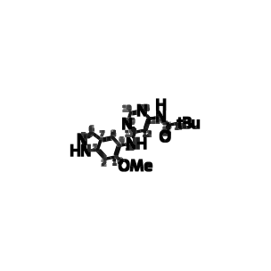 COc1cc2[nH]ncc2cc1Nc1cc(NC(=O)C(C)(C)C)ncn1